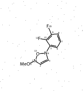 CON1C=CN(c2cccc(F)c2F)O1